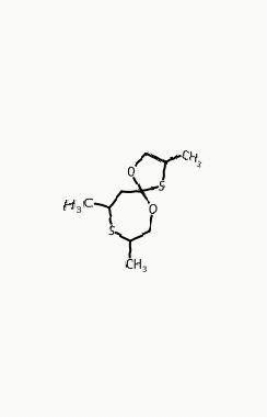 CC1COC2(CC(C)S1)OCC(C)S2